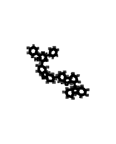 c1ccc(C2=NC(c3ccccc3)NC(c3ccc4sc5ccc(-c6ccc7c(c6)oc6c(-n8c9ccccc9c9ccccc98)cccc67)cc5c4c3)=N2)cc1